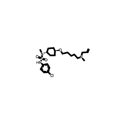 C=CCN(C)CCCCCO[C@H]1CC[C@H](N(C)S(=O)(=O)Nc2ccc(Cl)cc2)CC1